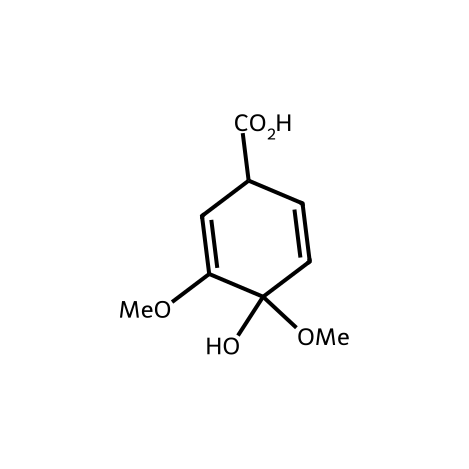 COC1=CC(C(=O)O)C=CC1(O)OC